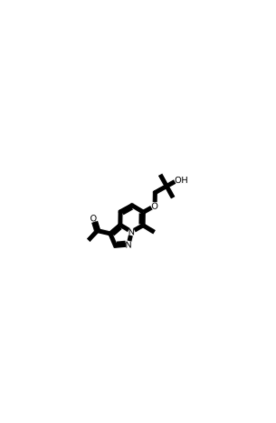 CC(=O)c1cnn2c(C)c(OCC(C)(C)O)ccc12